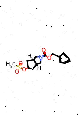 CS(=O)(=O)O[C@@H]1C[C@@H]2CN(C(=O)OCc3ccccc3)C[C@@H]2C1